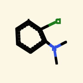 CN(C)c1ccc[c]c1Cl